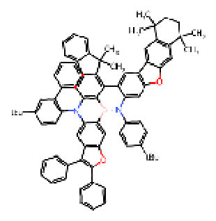 CC(C)(C)c1ccc(N2B3c4cc5oc(-c6ccccc6)c(-c6ccccc6)c5cc4N(c4ccc(C(C)(C)C)cc4-c4ccccc4)c4cc5c(c(c43)-c3cc4c(cc32)oc2cc3c(cc24)C(C)(C)CCC3(C)C)C(C)(C)c2ccccc2-5)cc1